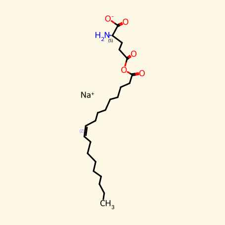 CCCCCCCC/C=C\CCCCCCCC(=O)OC(=O)CC[C@H](N)C(=O)[O-].[Na+]